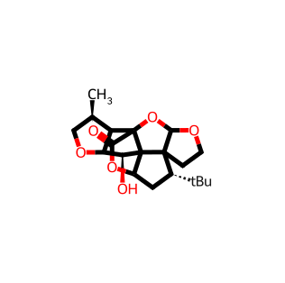 C[C@@H]1COC2C1C13OC4OCCC45[C@H](C(C)(C)C)CC(OC1=O)C35[C@H]2O